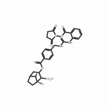 CC1C2CC[C@H]1C(C(=O)O)C(OC(=O)c1ccc(CNC(=S)Nc3ccccc3C(=O)ON3C(=O)CCC3=O)cc1)C2